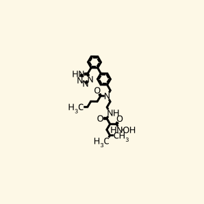 CCCCC(=O)N(CCNC(=O)C(CC(C)C)C(=O)NO)Cc1ccc(-c2ccccc2-c2nnn[nH]2)cc1